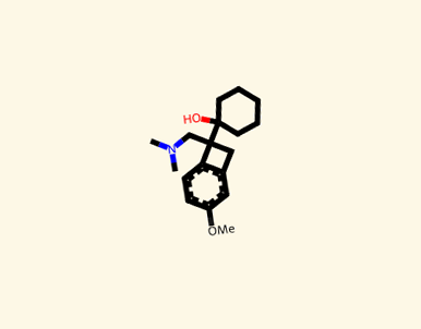 COc1ccc2c(c1)CC2(CN(C)C)C1(O)CCCCC1